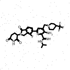 CC(C)NC(=N)c1nc(-c2ccc3c(c2F)CN(C2CCC(=O)NC2=O)C3=O)cc(CN2CCC(C(F)(F)F)CC2)c1N